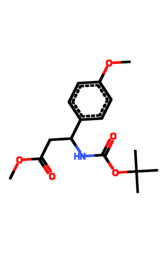 COC(=O)CC(NC(=O)OC(C)(C)C)c1ccc(OC)cc1